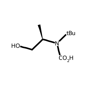 C[C@H](CO)N(C(=O)O)C(C)(C)C